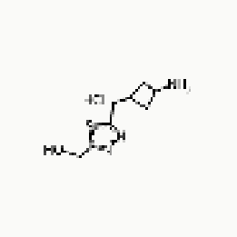 Cl.NC1CC(Cc2nnc(CO)s2)C1